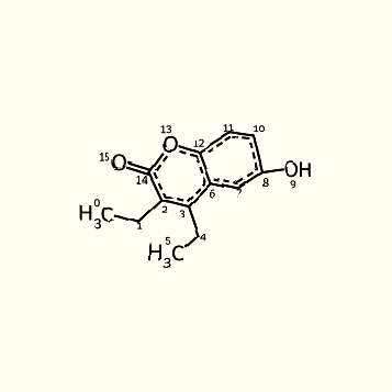 CCc1c(CC)c2cc(O)ccc2oc1=O